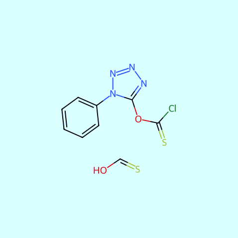 OC=S.S=C(Cl)Oc1nnnn1-c1ccccc1